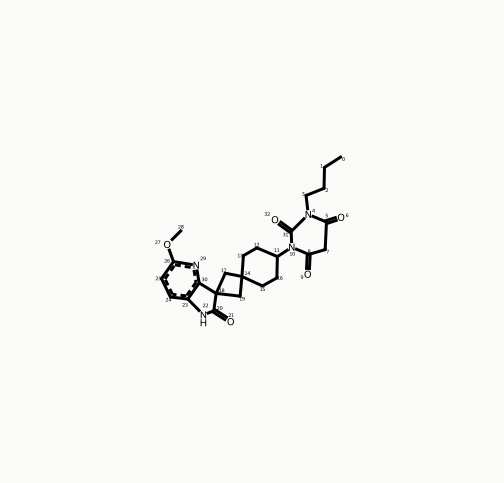 CCCCN1C(=O)CC(=O)N(C2CCC3(CC2)CC2(C3)C(=O)Nc3ccc(OC)nc32)C1=O